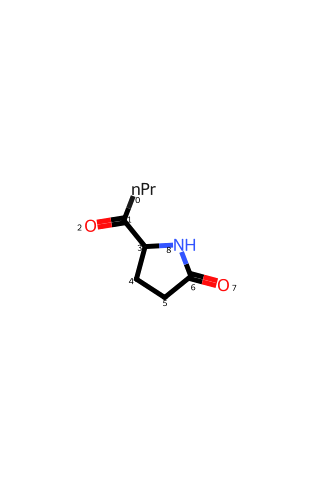 CCCC(=O)C1CCC(=O)N1